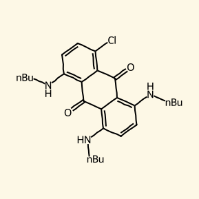 CCCCNc1ccc(Cl)c2c1C(=O)c1c(NCCCC)ccc(NCCCC)c1C2=O